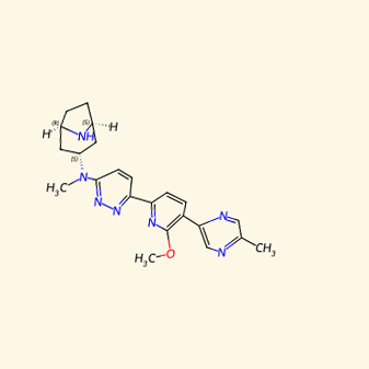 COc1nc(-c2ccc(N(C)[C@@H]3C[C@H]4CC[C@@H](C3)N4)nn2)ccc1-c1cnc(C)cn1